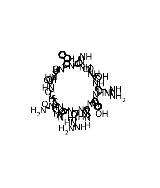 CCC1NC(=O)C(CO)NC(=O)CSCC(C(=O)NCC(N)=O)NC(=O)C(Cc2cncn2C)NC(=O)C(CCCNC(=N)N)NC(=O)C(Cc2c[nH]cn2)NC(=O)C(Cc2ccc(O)cc2)N(C)C(=O)C(CCCNC(=N)N)NC(=O)C(CO)NC(=O)CNC(=O)C(Cc2c[nH]cn2)NC(=O)C(Cc2cccc3ccccc23)NC1=O